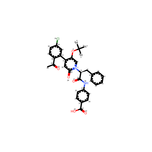 [2H]C([2H])([2H])Oc1cn([C@@H](Cc2ccccc2)C(=O)Nc2ccc(C(=O)O)cc2)c(=O)cc1-c1cc(Cl)ccc1C(C)=O